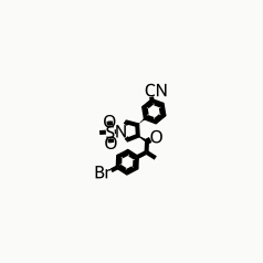 CC(C(=O)[C@H]1CN(S(C)(=O)=O)C[C@@H]1c1cccc(C#N)c1)c1ccc(Br)cc1